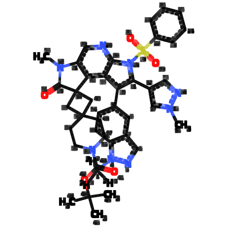 [2H]C([2H])([2H])n1ncc2cc(-c3c(-c4cnn(C)c4)n(S(=O)(=O)c4ccccc4)c4ncc5c(c34)C3(CC4(CCN(C(=O)OC(C)(C)C)CC4)C3)C(=O)N5C)ccc21